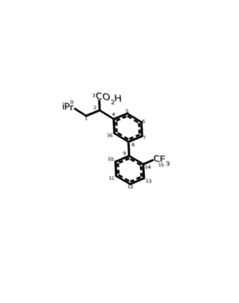 CC(C)CC(C(=O)O)c1cccc(-c2ccccc2C(F)(F)F)c1